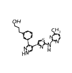 Cc1ccnc(Nc2nc(-c3c[nH]nc3-c3cccc(CCCO)c3)cs2)n1